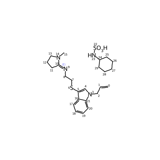 C=CCn1cc(SCC/N=C2\CCCN2C)c2ccccc21.O=S(=O)(O)NC1CCCCC1